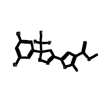 COC(=O)c1cc(C2=NOC(c3cc(Cl)cc(Cl)c3)(C(F)(F)F)C2)oc1C